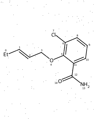 CCC=CCOc1c(Cl)cccc1C(N)=O